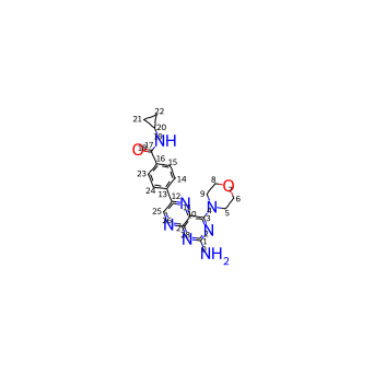 Nc1nc(N2CCOCC2)c2nc(-c3ccc(C(=O)NC4CC4)cc3)cnc2n1